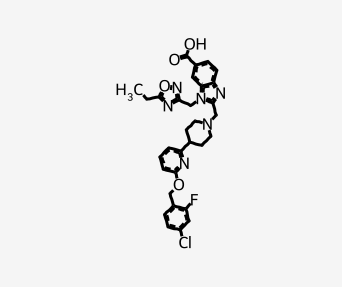 CCc1nc(Cn2c(CN3CCC(c4cccc(OCc5ccc(Cl)cc5F)n4)CC3)nc3ccc(C(=O)O)cc32)no1